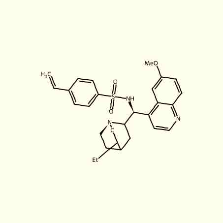 C=Cc1ccc(S(=O)(=O)N[C@@H](c2ccnc3ccc(OC)cc23)C2CC3CC[N@]2CC3CC)cc1